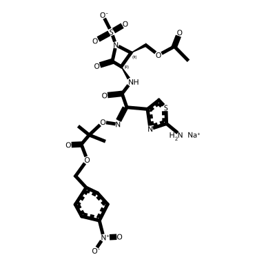 CC(=O)OC[C@H]1[C@@H](NC(=O)C(=NOC(C)(C)C(=O)OCc2ccc([N+](=O)[O-])cc2)c2csc(N)n2)C(=O)N1S(=O)(=O)[O-].[Na+]